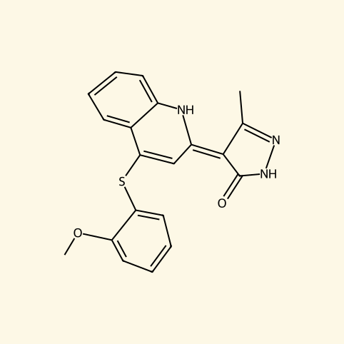 COc1ccccc1SC1=CC(=C2C(=O)NN=C2C)Nc2ccccc21